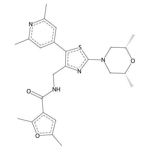 Cc1cc(-c2sc(N3C[C@@H](C)O[C@@H](C)C3)nc2CNC(=O)c2cc(C)oc2C)cc(C)n1